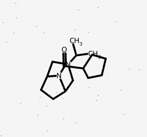 CC(C)N1CC2CCC(C1)N2C(=O)C1CCCC1